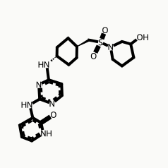 O=c1[nH]cccc1Nc1nccc(N[C@H]2CC[C@H](CS(=O)(=O)N3CCCC(O)C3)CC2)n1